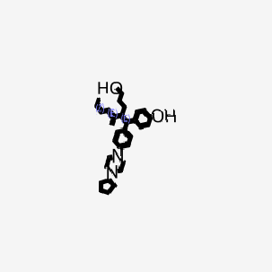 C\C=C/C=C(C)/C(CCCO)=C(/c1ccc(O)cc1)c1ccc(N2CCN(C3CCCC3)CC2)cc1